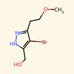 COCCc1n[nH]c(CO)c1Br